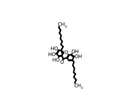 CCCCCCCCCc1cc(C(=O)c2cc(CCCCCCCCC)c(O)c(O)c2O)c(O)c(O)c1O